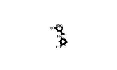 CCC(CC(C)C)C(=O)Nc1cccc(O)c1